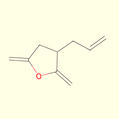 C=CCC1CC(=C)OC1=C